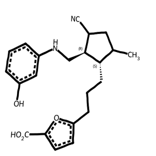 CC1CC(C#N)[C@H](CNc2cccc(O)c2)[C@H]1CCCc1ccc(C(=O)O)o1